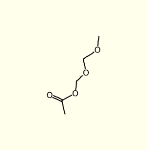 COCOCOC(C)=O